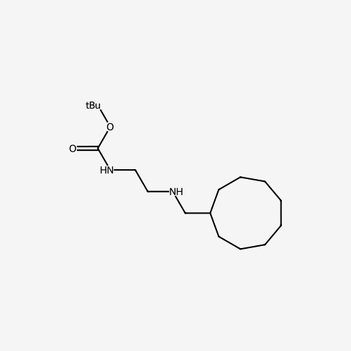 CC(C)(C)OC(=O)NCCNCC1CCCCCCCC1